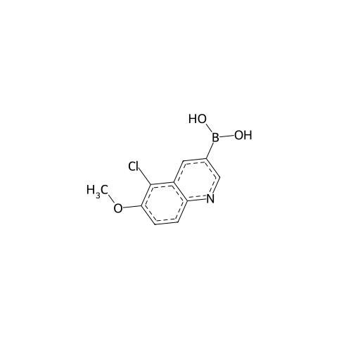 COc1ccc2ncc(B(O)O)cc2c1Cl